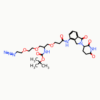 CC(C)(C)OC(=O)NC(COCCOCCN=[N+]=[N-])COCCC(=O)Nc1cccc2c1CN(C1CCC(=O)NC1=O)C2=O